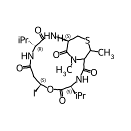 CC1SC[C@H]2NC(=O)[C@@H](C(C)C)NC(=O)C[C@H](I)OC(=O)[C@H](C(C)C)NC(=O)C1N(C)C2=O